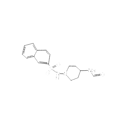 O=CNC1CCN(NS(=O)(=O)c2ccc3ccccc3c2)CC1